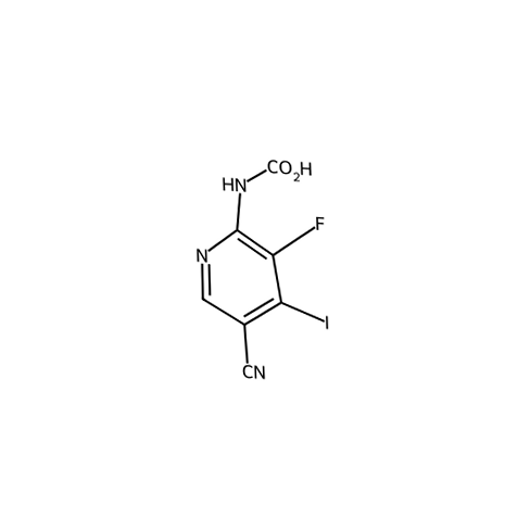 N#Cc1cnc(NC(=O)O)c(F)c1I